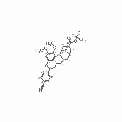 COc1ccc(OC(CCCN2CC3CN(C(=O)OC(C)(C)C)CC(C2)O3)c2ccc(C#N)cc2)cc1OC